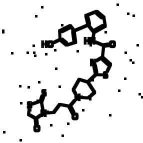 O=C(Nc1ccccc1-c1ccc(O)cc1)c1csc(C2CCN(C(=O)CCN3C(=O)CSC3=S)CC2)n1